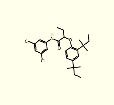 CCC(Oc1ccc(C(C)(C)CC)cc1C(C)(C)CC)C(=O)Nc1cc(Cl)[c]c(Cl)c1